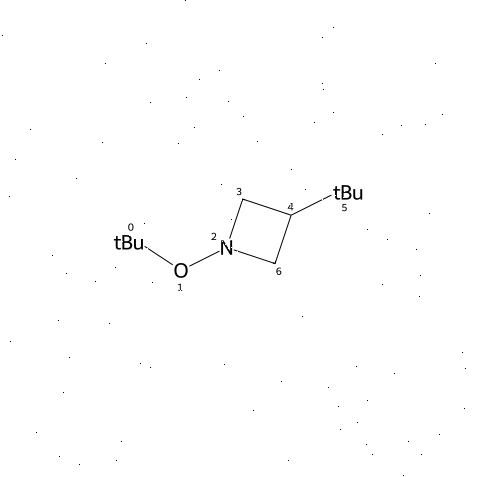 CC(C)(C)ON1CC(C(C)(C)C)C1